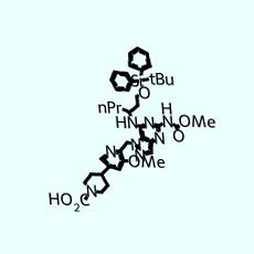 CCCC(CCO[Si](c1ccccc1)(c1ccccc1)C(C)(C)C)Nc1nc(NC(=O)OC)nc2cnn(Cc3ncc(C4CCN(C(=O)O)CC4)cc3OC)c12